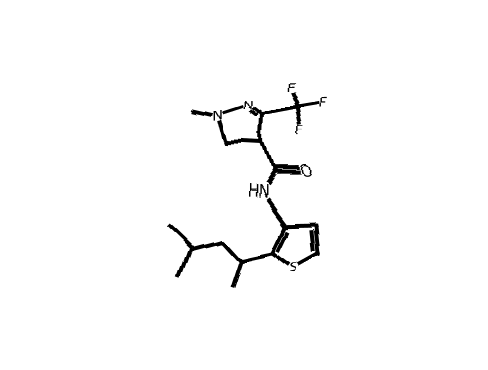 CC(C)CC(C)c1sccc1NC(=O)C1CN(C)N=C1C(F)(F)F